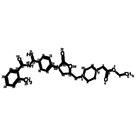 CCOC(=O)CN1CCN(CC2CN(c3ccc(C(=N)NC(=O)c4ccccc4C)cc3)C(=O)O2)CC1